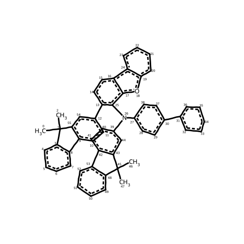 CC1(C)c2ccccc2-c2ccc(-c3ccc4c(oc5ccccc54)c3N(c3ccc(-c4ccccc4)cc3)c3ccc4c(c3)C(C)(C)c3ccccc3-4)cc21